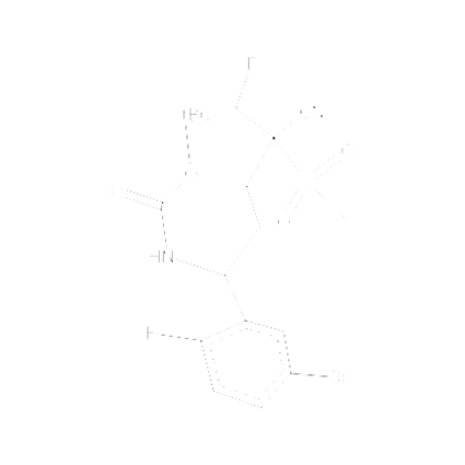 CC(C)(C)OC(=O)NC(CCC(C#N)(CF)S(C)(=O)=O)c1cc(Br)ccc1F